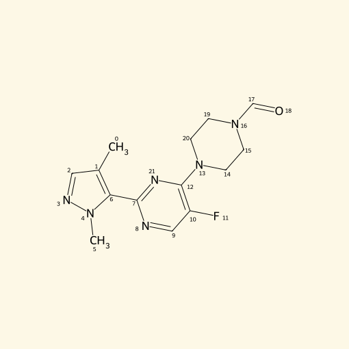 Cc1cnn(C)c1-c1ncc(F)c(N2CCN(C=O)CC2)n1